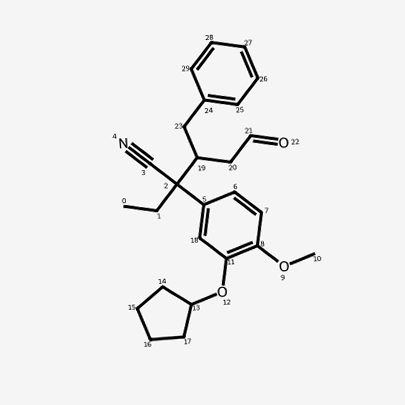 CCC(C#N)(c1ccc(OC)c(OC2CCCC2)c1)C(CC=O)Cc1ccccc1